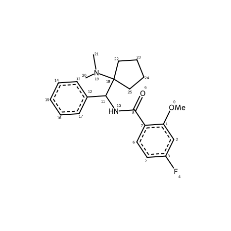 COc1cc(F)ccc1C(=O)NC(c1ccccc1)C1(N(C)C)CCCC1